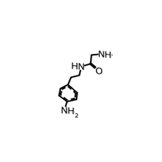 [NH]CC(=O)NCCc1ccc(N)cc1